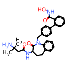 CC(C)(N)CC(=O)NC1CCc2ccccc2N(Cc2ccc(-c3ccccc3C(=O)NO)cc2)C1=O